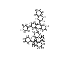 O=S1(=O)c2cc(-c3c4ccccc4c(-c4ccc5ccccc5c4)c4ccc(-c5ccccc5)cc34)ccc2-n2c(-c3ccccc3)nc3cccc1c32